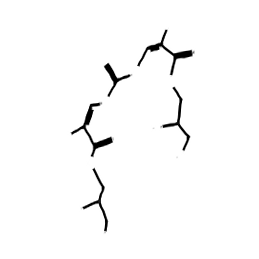 CC(=COC(=O)OC=C(C)C(=O)OCC(O)CO)C(=O)OCC(O)CO